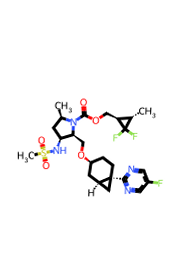 C[C@@H]1C[C@H](NS(C)(=O)=O)[C@H](CO[C@H]2CC[C@@]3(c4ncc(F)cn4)C[C@H]3C2)N1C(=O)OC[C@H]1[C@H](C)C1(F)F